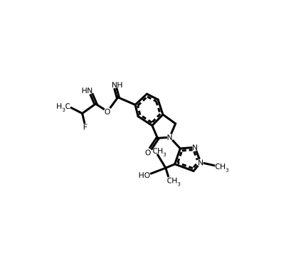 CC(F)C(=N)OC(=N)c1ccc2c(c1)C(=O)N(c1nn(C)cc1C(C)(C)O)C2